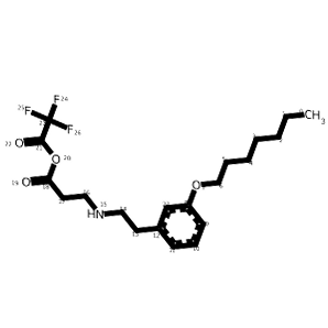 CCCCCCCOc1cccc(CCNCCC(=O)OC(=O)C(F)(F)F)c1